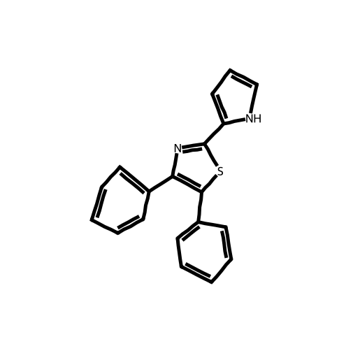 c1ccc(-c2nc(-c3ccc[nH]3)sc2-c2ccccc2)cc1